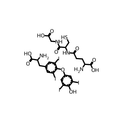 NC(CCC(=O)NC(CS)C(=O)NCC(=O)O)C(=O)O.NC(Cc1cc(I)c(Oc2cc(I)c(O)c(I)c2)c(I)c1)C(=O)O